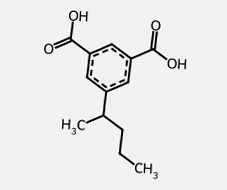 CCCC(C)c1cc(C(=O)O)cc(C(=O)O)c1